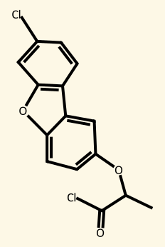 CC(Oc1ccc2oc3cc(Cl)ccc3c2c1)C(=O)Cl